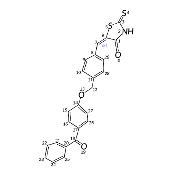 O=C1NC(=S)S/C1=C/c1ccc(COc2ccc(C(=O)c3ccccc3)cc2)cc1